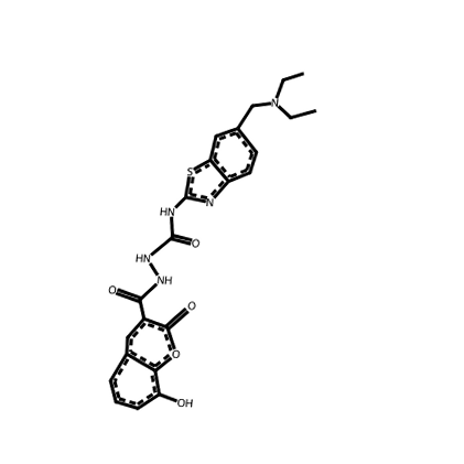 CCN(CC)Cc1ccc2nc(NC(=O)NNC(=O)c3cc4cccc(O)c4oc3=O)sc2c1